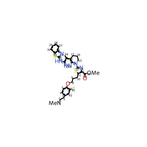 CNCCc1ccc(OCCCc2sc(N3CCCc4c3nnc(Nc3nc5ccccc5s3)c4C)nc2C(=O)OC)c(F)c1